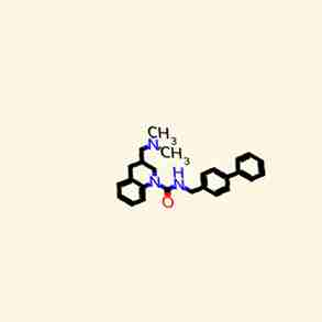 CN(C)CC1Cc2ccccc2N(C(=O)NCc2ccc(-c3ccccc3)cc2)C1